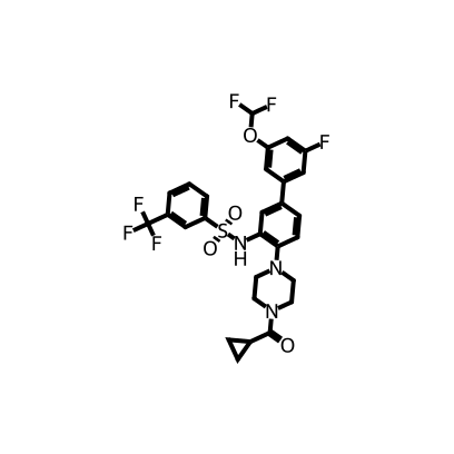 O=C(C1CC1)N1CCN(c2ccc(-c3cc(F)cc(OC(F)F)c3)cc2NS(=O)(=O)c2cccc(C(F)(F)F)c2)CC1